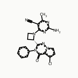 Cc1nc(N)nc(N2CC[C@H]2c2nn3ccc(Cl)c3c(=O)n2-c2ccccc2)c1C#N